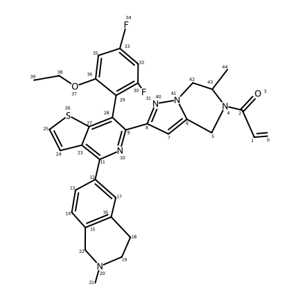 C=CC(=O)N1Cc2cc(-c3nc(-c4ccc5c(c4)CCN(C)C5)c4ccsc4c3-c3c(F)cc(F)cc3OCC)nn2CC1C